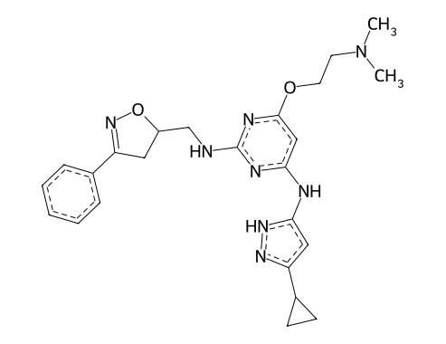 CN(C)CCOc1cc(Nc2cc(C3CC3)n[nH]2)nc(NCC2CC(c3ccccc3)=NO2)n1